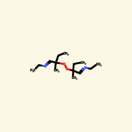 CCN=CC(C)(CC)OOC(C)(C=NCC)CC